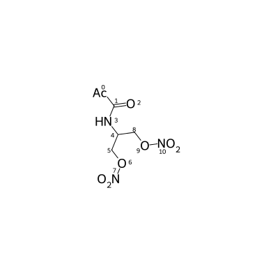 CC(=O)C(=O)NC(CO[N+](=O)[O-])CO[N+](=O)[O-]